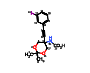 CC1(C)OCC(C#Cc2cccc(I)c2)(NC(=O)O)CO1